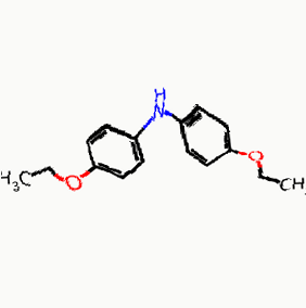 CCOc1ccc(Nc2ccc(OCC)cc2)cc1